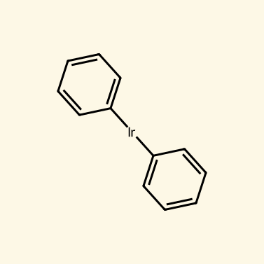 c1cc[c]([Ir][c]2ccccc2)cc1